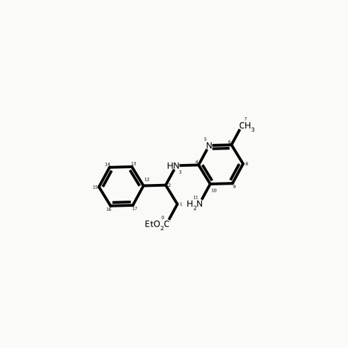 CCOC(=O)CC(Nc1nc(C)ccc1N)c1ccccc1